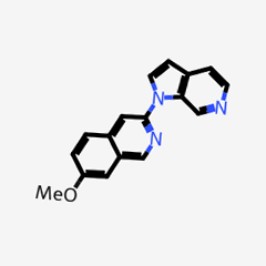 COc1ccc2cc(-n3ccc4ccncc43)ncc2c1